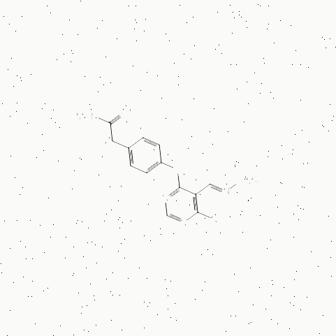 CNC(=O)Cc1ccc(Oc2ncnc(N)c2C=NOC)cc1